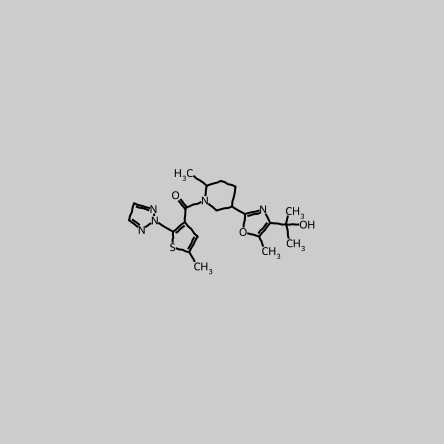 Cc1cc(C(=O)N2CC(c3nc(C(C)(C)O)c(C)o3)CCC2C)c(-n2nccn2)s1